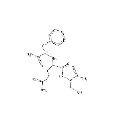 CC(=O)C(CO)NC(=O)C(CCC(N)=O)N[C@@H](Cc1ccccc1)C(N)=O